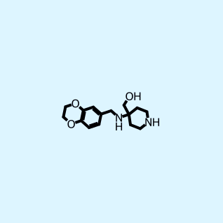 OCC1(NCc2ccc3c(c2)OCCO3)CCNCC1